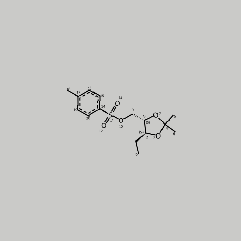 CC[C@@H]1OC(C)(C)O[C@H]1COS(=O)(=O)c1ccc(C)cc1